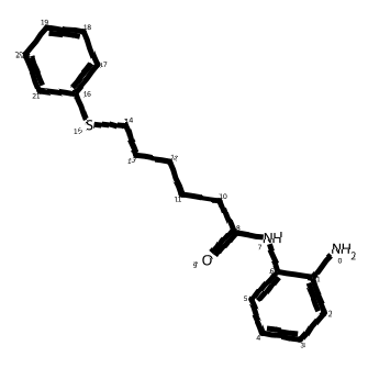 Nc1ccccc1NC(=O)CCCCCSc1ccccc1